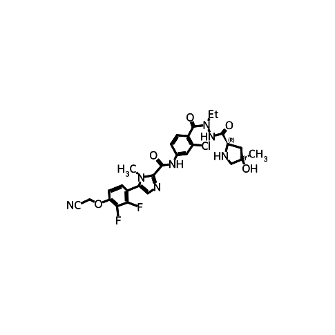 CCN(NC(=O)[C@H]1C[C@@](C)(O)CN1)C(=O)c1ccc(NC(=O)c2ncc(-c3ccc(OCC#N)c(F)c3F)n2C)cc1Cl